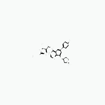 CCN1CCC(Oc2cc(-c3ccc(F)cc3)cc3c(N[C@H](C)c4cnc(C(F)(F)F)nc4)ncnc23)C1